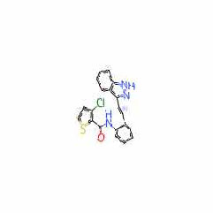 O=C(Nc1ccccc1/C=C/c1n[nH]c2ccccc12)c1sccc1Cl